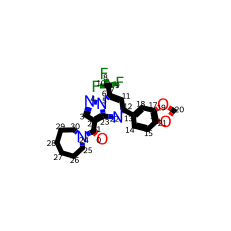 O=C(c1cnn2c(C(F)(F)F)cc(-c3ccc4c(c3)OCO4)nc12)N1CCCCCC1